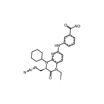 [N-]=[N+]=NC[C@@H]1C(=O)N(CI)c2ccc(Nc3cccc(C(=O)N=O)c3)nc2N1C1CCCCC1